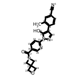 Cc1cc(C#N)ccc1-c1cnn(-c2ccc(C(=O)N3CC4(COC4)C3)cn2)c1O